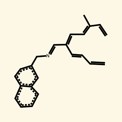 C=C/C=C/C(/C=N/Cc1ccc2ccccc2c1)=C\C=C(/C)C=C